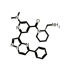 CN(C)c1cc(C(=O)N2CCCC[C@@H]2CN)cc(-c2cnn3ccc(-c4ccccc4)nc23)n1